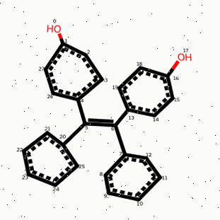 Oc1ccc(C(=C(c2ccccc2)c2ccc(O)cc2)c2cc[c]cc2)cc1